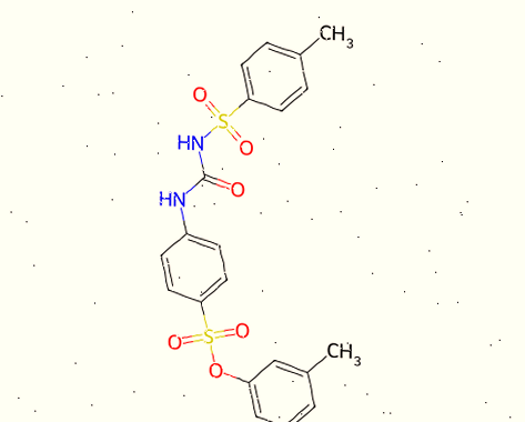 Cc1ccc(S(=O)(=O)NC(=O)Nc2ccc(S(=O)(=O)Oc3cccc(C)c3)cc2)cc1